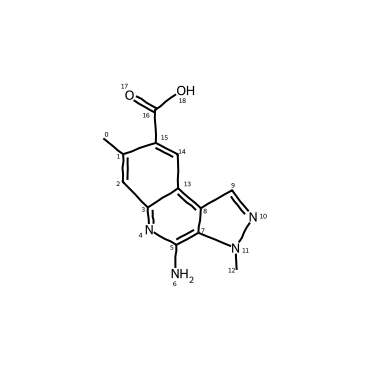 Cc1cc2nc(N)c3c(cnn3C)c2cc1C(=O)O